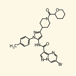 Cc1ccc(-n2nc(C3CCN(C(=O)C4CCCCO4)CC3)cc2NC(=O)c2cnn3cc(Br)cnc23)cc1